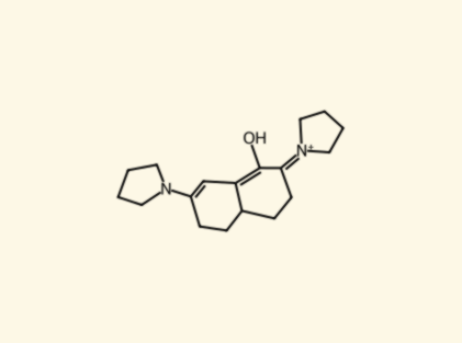 OC1=C2C=C(N3CCCC3)CCC2CCC1=[N+]1CCCC1